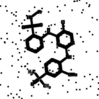 COc1cc(P(C)(C)=O)ccc1Nc1ncc(Cl)c(Nc2ccccc2S(=O)(=O)NC(C)C)n1